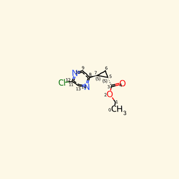 CCOC(=O)[C@H]1C[C@@H]1c1cnc(Cl)cn1